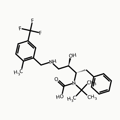 Cc1ccc(C(F)(F)F)cc1CNC[C@@H](O)[C@H](Cc1ccccc1)N(C(=O)O)C(C)(C)C